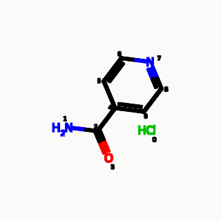 Cl.NC(=O)c1ccncc1